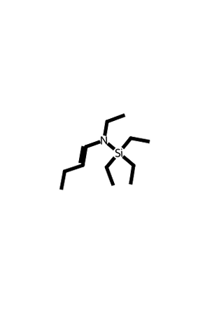 CCC=CN(CC)[Si](CC)(CC)CC